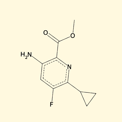 COC(=O)c1nc(C2CC2)c(F)cc1N